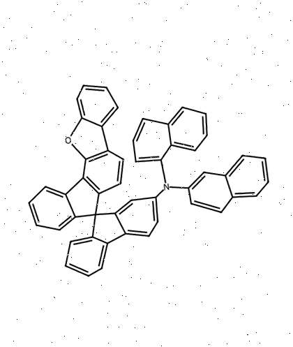 c1ccc2c(c1)-c1ccc(N(c3ccc4ccccc4c3)c3cccc4ccccc34)cc1C21c2ccccc2-c2c1ccc1c2oc2ccccc21